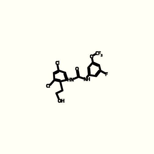 O=C(Nc1cc(F)cc(OC(F)(F)F)c1)Nc1cc(Cl)cc(Cl)c1CCO